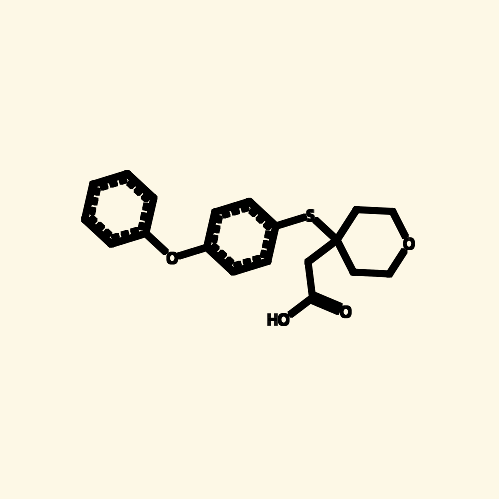 O=C(O)CC1(Sc2ccc(Oc3ccccc3)cc2)CCOCC1